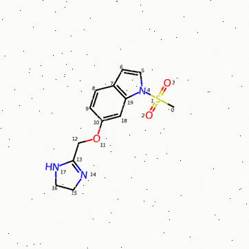 CS(=O)(=O)n1ccc2ccc(OCC3=NCCN3)cc21